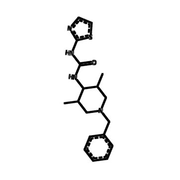 CC1CN(Cc2ccccc2)CC(C)C1NC(=O)Nc1nccs1